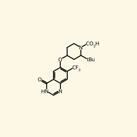 CC(C)(C)C1CC(Oc2cc3c(=O)[nH]cnc3cc2C(F)(F)F)CCN1C(=O)O